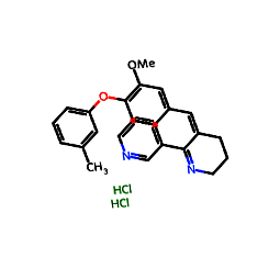 COc1cc(/C=C2/CCCN=C2c2cccnc2)ccc1Oc1cccc(C)c1.Cl.Cl